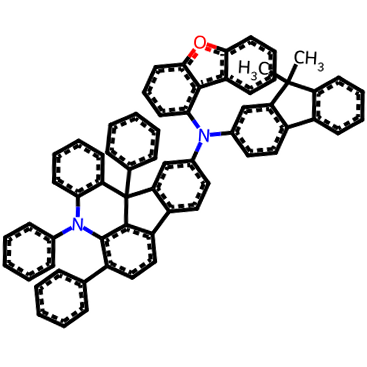 CC1(C)c2ccccc2-c2ccc(N(c3ccc4c(c3)C3(c5ccccc5)c5ccccc5N(c5ccccc5)c5c(-c6ccccc6)ccc-4c53)c3cccc4oc5ccccc5c34)cc21